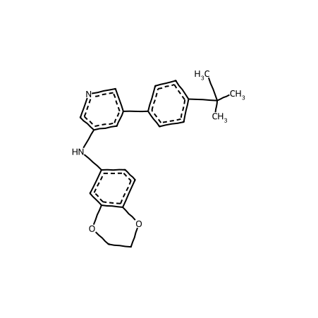 CC(C)(C)c1ccc(-c2cncc(Nc3ccc4c(c3)OCCO4)c2)cc1